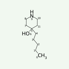 CCCCCC1(O)CCNCC1